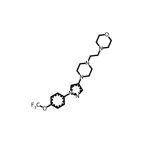 FC(F)(F)Oc1ccc(-n2cc(N3CCN(CCN4CCOCC4)CC3)cn2)cc1